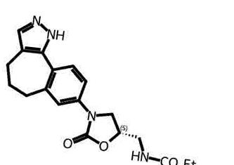 CCOC(=O)NC[C@H]1CN(c2ccc3c(c2)CCCc2cn[nH]c2-3)C(=O)O1